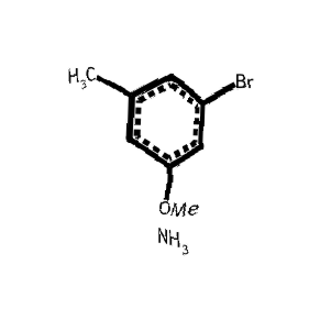 COc1cc(C)cc(Br)c1.N